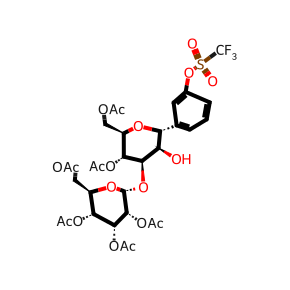 CC(=O)OC[C@H]1O[C@H](O[C@@H]2[C@H](O)[C@@H](c3cccc(OS(=O)(=O)C(F)(F)F)c3)O[C@H](COC(C)=O)[C@H]2OC(C)=O)[C@H](OC(C)=O)[C@H](OC(C)=O)[C@@H]1OC(C)=O